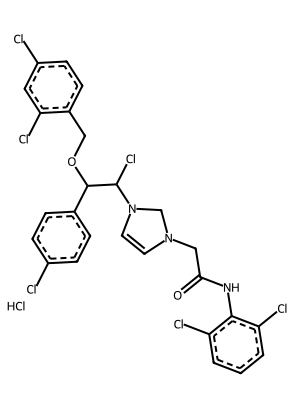 Cl.O=C(CN1C=CN(C(Cl)C(OCc2ccc(Cl)cc2Cl)c2ccc(Cl)cc2)C1)Nc1c(Cl)cccc1Cl